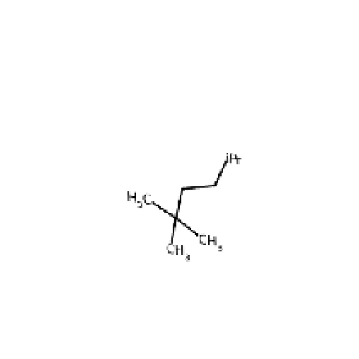 CC(C)CCC(C)(C)C